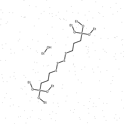 CCO.CCO[Si](CCCSSSSCCC[Si](OCC)(OCC)OCC)(OCC)OCC